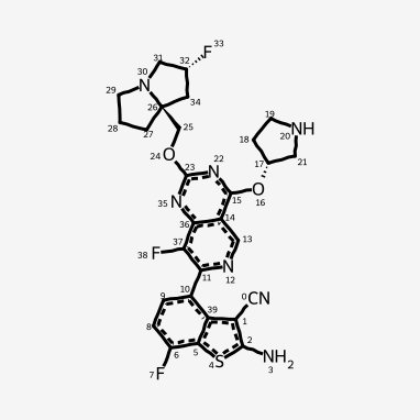 N#Cc1c(N)sc2c(F)ccc(-c3ncc4c(O[C@@H]5CCNC5)nc(OC[C@@]56CCCN5C[C@H](F)C6)nc4c3F)c12